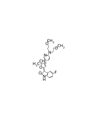 COCCN(CCOC)c1ccc(C2=CC(=C3C(=O)Nc4ccc(F)cc43)OC2(C)C)cn1